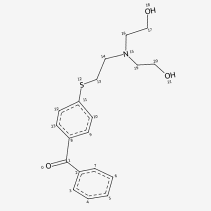 O=C(c1ccccc1)c1ccc(SCCN(CCO)CCO)cc1